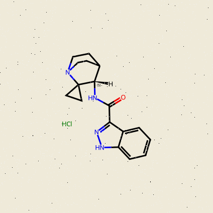 Cl.O=C(N[C@H]1C2CCN(CC2)C12CC2)c1n[nH]c2ccccc12